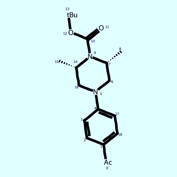 CC(=O)c1ccc(N2C[C@@H](C)N(C(=O)OC(C)(C)C)[C@@H](C)C2)cc1